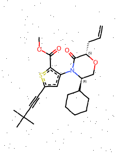 C=CC[C@@H]1OC[C@@H](C2CCCCC2)N(c2cc(C#CC(C)(C)C)sc2C(=O)OC)C1=O